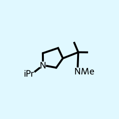 CNC(C)(C)C1CCN(C(C)C)C1